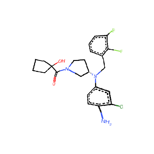 Nc1ccc(N(Cc2cccc(F)c2F)[C@H]2CCN(C(=O)C3(O)CCCC3)C2)cc1Cl